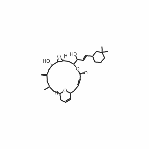 C=C1CC(C)C[C@@H]2CC=CC(C/C=C\C(=O)OC(C(O)/C=C/C3CCCC(C)(C)C3)C[C@@H]3OC3[C@@H](O)C1)O2